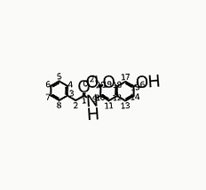 O=C(Cc1ccccc1)Nc1cc2ccc(O)cc2oc1=O